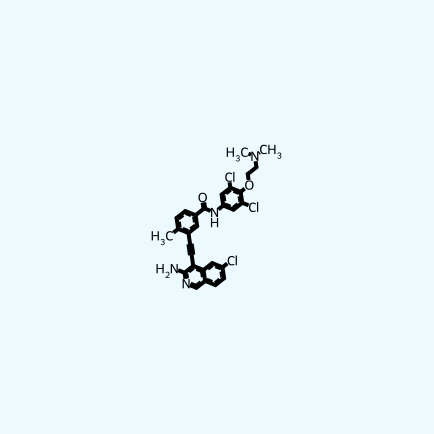 Cc1ccc(C(=O)Nc2cc(Cl)c(OCCN(C)C)c(Cl)c2)cc1C#Cc1c(N)ncc2ccc(Cl)cc12